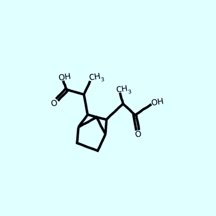 CC(C(=O)O)C1C2CCC(C2)C1C(C)C(=O)O